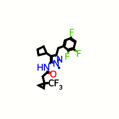 Cn1nc(Cc2cc(F)cc(F)c2F)c(C2CCC2)c1NC(=O)CC1(C(F)(F)F)CC1